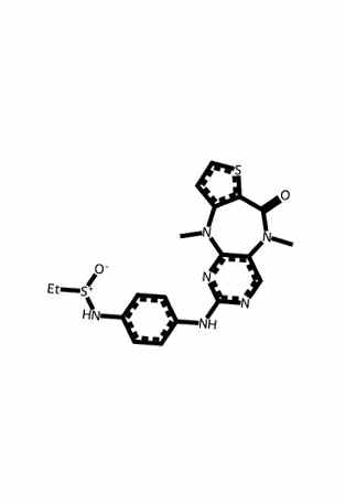 CC[S+]([O-])Nc1ccc(Nc2ncc3c(n2)N(C)c2ccsc2C(=O)N3C)cc1